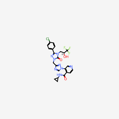 O=C(NC1CC1)c1ccncc1-n1cnc(Cn2nc(-c3ccc(Cl)cc3)n(C[C@H](O)C(F)(F)F)c2=O)n1